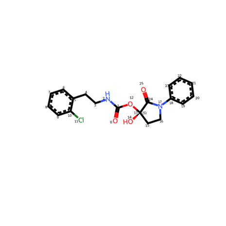 O=C(NCCc1ccccc1Cl)O[C@@]1(O)CCN(c2ccccc2)C1=O